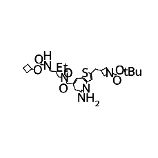 CCON(CCCNC(=O)OC1CCC1)C(=O)C1=Cc2sc(CC3CN(C(=O)OC(C)(C)C)C3)cc2N=C(N)C1